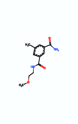 COCCNC(=O)c1cc(C)cc(C(N)=O)c1